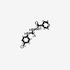 O=C(NNC(=S)Nc1ccc(Cl)cc1)c1ccncc1